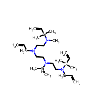 C=C[SiH2]N(CCN(CCN([SiH2]C=C)[Si](C)(C)C=C)[SiH](C)C)CCN(C)[Si](C)(C)C=C